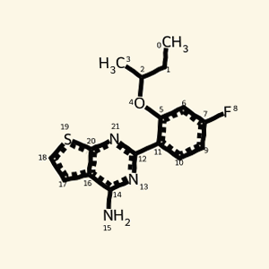 CCC(C)Oc1cc(F)ccc1-c1nc(N)c2ccsc2n1